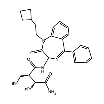 CCC[C@H](C(N)=O)[C@@H](CC(C)C)C(=O)NC1N=C(c2ccccc2)c2ccccc2N(CCC2CCC2)C1=O